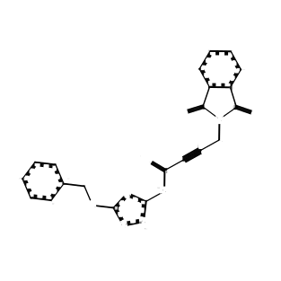 O=C(C#CCN1C(=O)c2ccccc2C1=O)Nc1nnc(SCc2ccccc2)s1